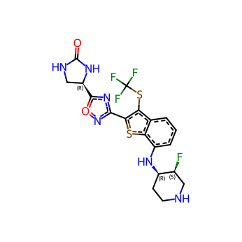 O=C1NC[C@H](c2nc(-c3sc4c(N[C@@H]5CCNC[C@@H]5F)cccc4c3SC(F)(F)F)no2)N1